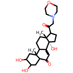 CC12CC(O)C(O)CC1C(=O)C=C1C2CCC2(C)C(C(=O)CN3CCOCC3)CC[C@@]12O